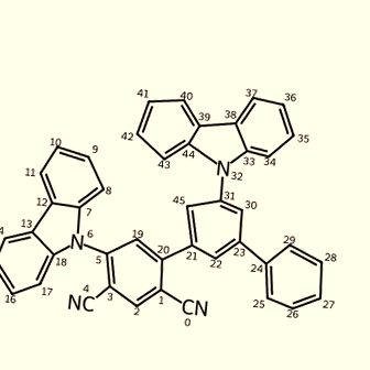 N#Cc1cc(C#N)c(-n2c3ccccc3c3ccccc32)cc1-c1cc(-c2ccccc2)cc(-n2c3ccccc3c3ccccc32)c1